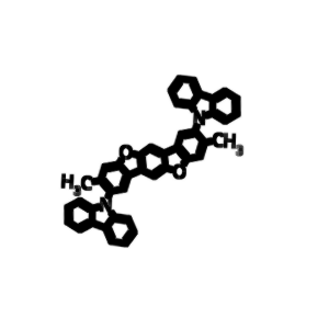 Cc1cc2oc3cc4c(cc3c2cc1-n1c2ccccc2c2ccccc21)oc1cc(C)c(-n2c3ccccc3c3ccccc32)cc14